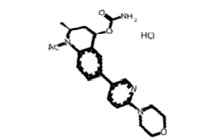 CC(=O)N1c2ccc(-c3ccc(N4CCOCC4)nc3)cc2[C@H](OC(N)=O)C[C@@H]1C.Cl